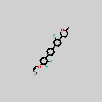 CC/C=C\Oc1ccc(-c2ccc(-c3ccc(C4CCC(C)OC4)c(F)c3)cc2)c(F)c1F